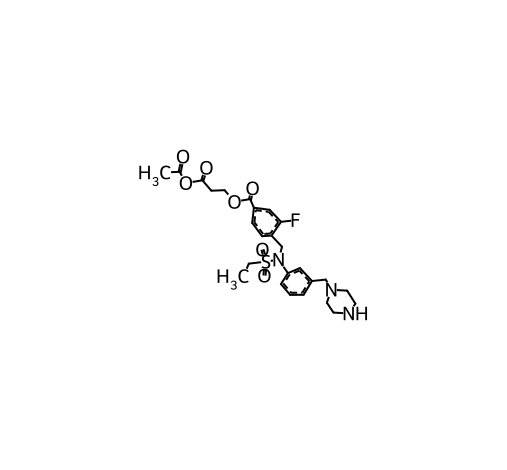 CCS(=O)(=O)N(Cc1ccc(C(=O)OCCC(=O)OC(C)=O)cc1F)c1cccc(CN2CCNCC2)c1